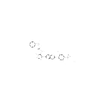 C[C@@H](OC(=O)Nc1c(-c2cc3sc(-c4cc(Cl)c(C5(C(=O)O)CC5)cc4F)cc3s2)nnn1C)c1ccccc1